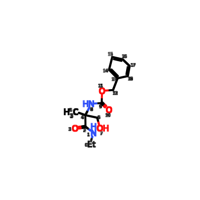 CCNC(=O)C(C)(CO)NC(=O)OCc1ccccc1